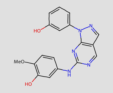 COc1ccc(Nc2ncc3cnn(-c4cccc(O)c4)c3n2)cc1O